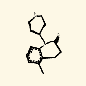 Cc1cccc2c1CCC(=O)N2C1CCNCC1